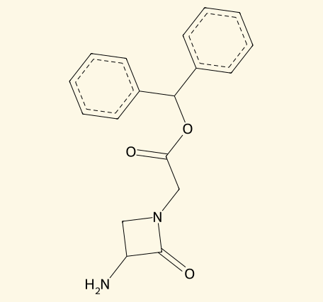 NC1CN(CC(=O)OC(c2ccccc2)c2ccccc2)C1=O